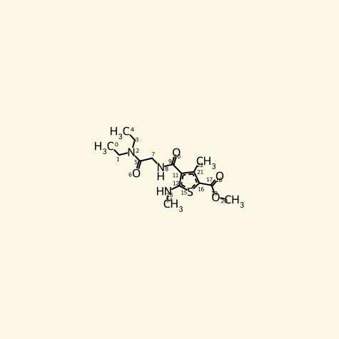 CCN(CC)C(=O)CNC(=O)c1c(NC)sc(C(=O)OC)c1C